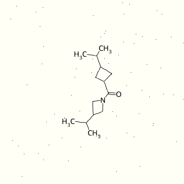 CC(C)C1CC(C(=O)N2CC(C(C)C)C2)C1